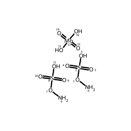 NOS(=O)(=O)O.NOS(=O)(=O)O.[O]=[Mo](=[O])([OH])[OH]